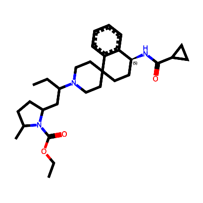 CCOC(=O)N1C(C)CCC1CC(CC)N1CCC2(CC[C@H](NC(=O)C3CC3)c3ccccc32)CC1